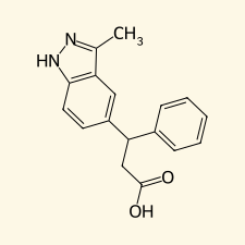 Cc1n[nH]c2ccc(C(CC(=O)O)c3ccccc3)cc12